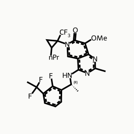 CCCC1CC1(n1cc2c(N[C@H](C)c3cccc(C(C)(F)F)c3F)nc(C)nc2c(OC)c1=O)C(F)(F)F